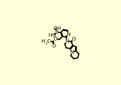 CC(=O)OCc1c(B(O)O)ccnc1N1CCc2c(cc3n2CCCC3)C1=O